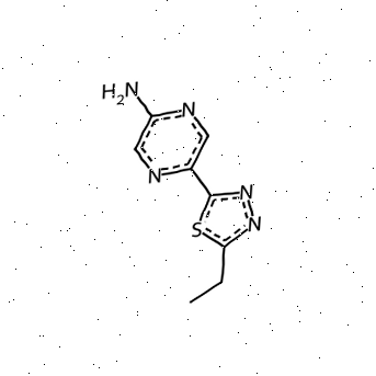 CCc1nnc(-c2cnc(N)cn2)s1